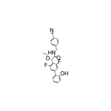 CCO[C@H](C(=O)NCc1ccc(C#N)cc1)c1c(F)cc(-c2ccccc2O)cc1F